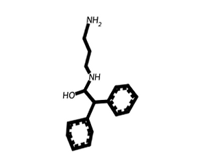 NCCCNC(O)C(c1ccccc1)c1ccccc1